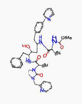 COC(=O)NC(C(=O)NC(Cc1ccc(-c2ccccn2)cc1)CC(O)C(Cc1ccccc1)NC(=O)C(N1CCN(Cc2ccccn2)C1=O)C(C)(C)C)C(C)(C)C